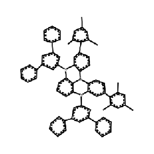 Cc1cc(C)c(-c2ccc3c(c2)N(c2cc(-c4ccccc4)cc(-c4ccccc4)c2)c2cccc4c2B3c2ccc(-c3c(C)cc(C)cc3C)cc2N4c2cc(-c3ccccc3)cc(-c3ccccc3)c2)c(C)c1